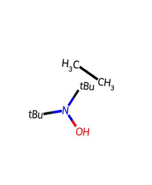 CC.CC(C)(C)N(O)C(C)(C)C